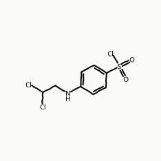 O=S(=O)(Cl)c1ccc(NCC(Cl)Cl)cc1